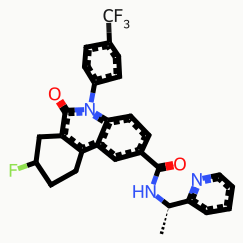 C[C@H](NC(=O)c1ccc2c(c1)c1c(c(=O)n2-c2ccc(C(F)(F)F)cc2)CC(F)CC1)c1ccccn1